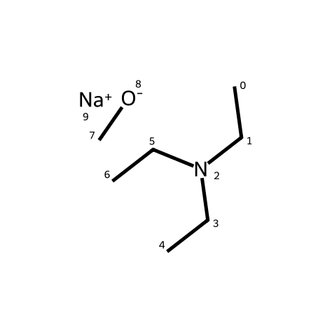 CCN(CC)CC.C[O-].[Na+]